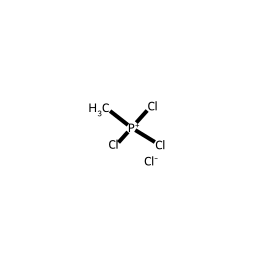 C[P+](Cl)(Cl)Cl.[Cl-]